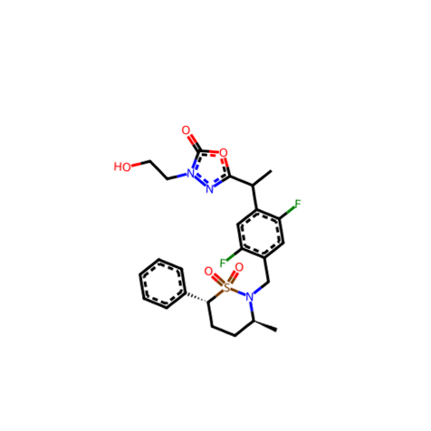 CC(c1nn(CCO)c(=O)o1)c1cc(F)c(CN2[C@@H](C)CC[C@H](c3ccccc3)S2(=O)=O)cc1F